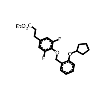 CCOC(=O)CCc1cc(F)c(OCc2ccccc2OC2CCCC2)c(F)c1